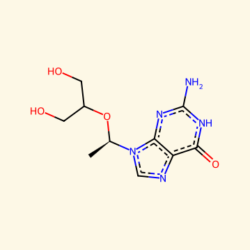 C[C@@H](OC(CO)CO)n1cnc2c(=O)[nH]c(N)nc21